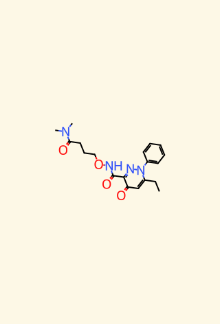 CCc1cc(=O)c(C(=O)NOCCCC(=O)N(C)C)nn1-c1ccccc1